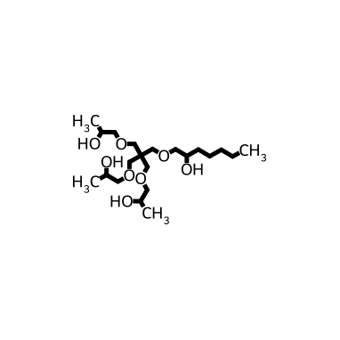 CCCCCC(O)COCC(COCC(C)O)(COCC(C)O)COCC(C)O